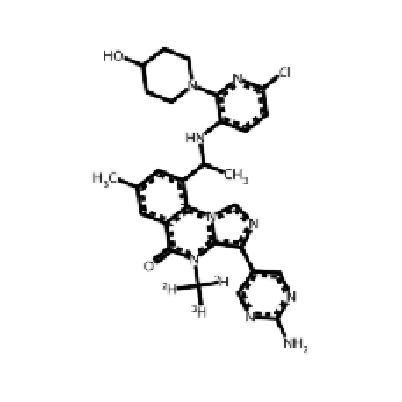 [2H]C([2H])([2H])n1c(=O)c2cc(C)cc(C(C)Nc3ccc(Cl)nc3N3CCC(O)CC3)c2n2cnc(-c3cnc(N)nc3)c12